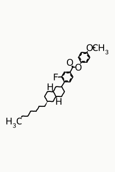 CCCCCCC[C@H]1CC[C@@H]2CC(c3ccc(C(=O)Oc4ccc(OC)cc4)cc3F)CC[C@H]2C1